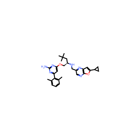 Cc1cccc(C)c1-c1cc(OC[C@@H](CC(C)(C)C)NCc2cnc3oc(C4CC4)cc3n2)nc(N)n1